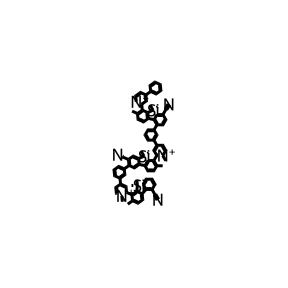 Cc1ccc2c(c1-c1cc(-c3cccc(-c4ccc(C#N)c5c4-c4ccc(C)c(-c6cc(-c7ccccc7)cc[n+]6C)c4[Si]5(C)C)c3)cc[n+]1C)[Si](C)(C)c1cc(C#N)c(-c3cccc(-c4cc[n+](C)c(-c5c(C)ccc6c5[Si](C)(C)c5cccc(C#N)c5-6)c4)c3)cc1-2